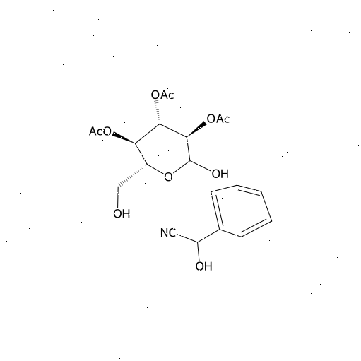 CC(=O)O[C@H]1[C@H](OC(C)=O)[C@@H](OC(C)=O)C(O)O[C@@H]1CO.N#CC(O)c1ccccc1